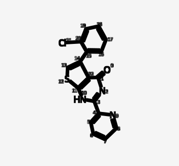 O=c1nc(-c2ccccn2)[nH]c2scc(-c3ccccc3Cl)c12